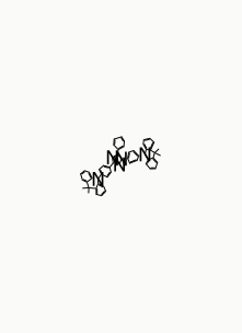 CC1(C)c2ccccc2N(c2ccc(-c3nc(-c4ccccc4)n(-c4ccc(N5c6ccccc6C(C)(C)c6ccccc65)cc4)n3)cc2)c2ccccc21